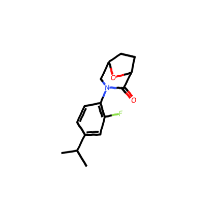 CC(C)c1ccc(N2CC3CCC(O3)C2=O)c(F)c1